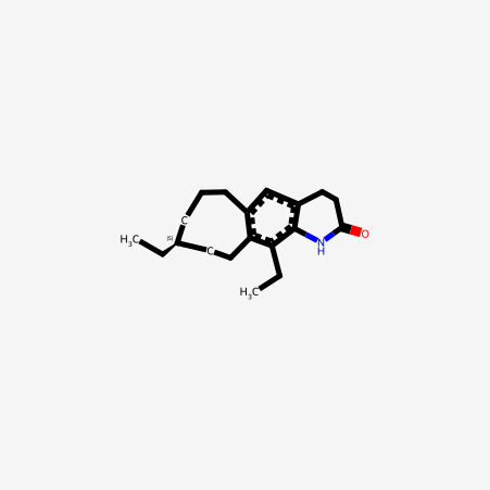 CCc1c2c(cc3c1NC(=O)CC3)CCC[C@H](CC)CC2